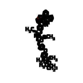 CCCc1nc(CSCc2ccc(Oc3ccc(N)c(N(C)C(=O)OC(C)(C)C)c3)cc2)c(C(=O)OCC)n1Cc1ccc(-c2ccccc2-c2nnnn2C(c2ccccc2)(c2ccccc2)c2ccccc2)cc1